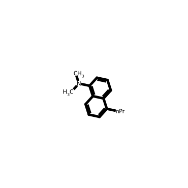 CCCc1cccc2c(N(C)C)cccc12